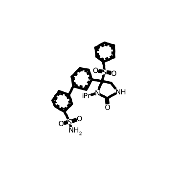 CC(C)N1C(=O)NCC1(c1cccc(-c2cccc(S(N)(=O)=O)c2)c1)S(=O)(=O)c1ccccc1